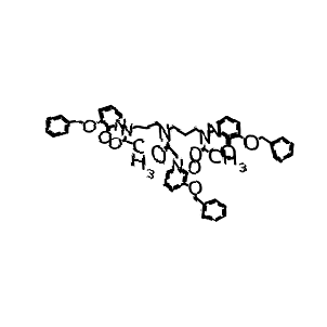 CC(=O)N(CCCN(CCCN(C(C)=O)n1cccc(OCc2ccccc2)c1=O)C(=O)Cn1cccc(OCc2ccccc2)c1=O)n1cccc(OCc2ccccc2)c1=O